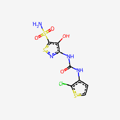 NS(=O)(=O)c1snc(NC(=O)Nc2ccsc2Cl)c1O